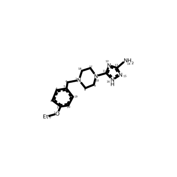 CCOc1ccc(CN2CCN(c3nc(N)n[nH]3)CC2)cc1